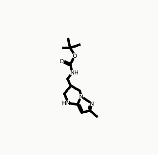 Cc1cc2n(n1)CC(CNC(=O)OC(C)(C)C)CN2